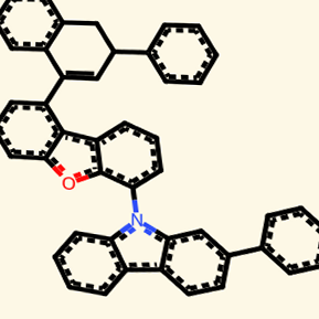 C1=C(c2cccc3oc4c(-n5c6ccccc6c6ccc(-c7ccccc7)cc65)cccc4c23)c2ccccc2CC1c1ccccc1